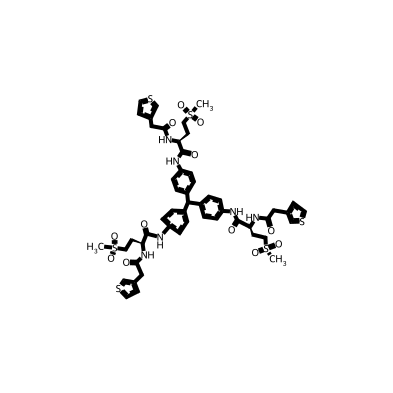 CS(=O)(=O)CC[C@H](NC(=O)Cc1ccsc1)C(=O)Nc1ccc(C(c2ccc(NC(=O)[C@H](CCS(C)(=O)=O)NC(=O)Cc3ccsc3)cc2)c2ccc(NC(=O)[C@H](CCS(C)(=O)=O)NC(=O)Cc3ccsc3)cc2)cc1